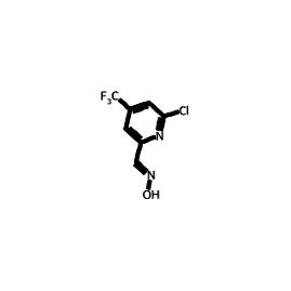 O/N=C/c1cc(C(F)(F)F)cc(Cl)n1